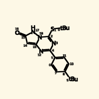 CC(C)(C)Sc1nc(-c2ccc(C(C)(C)C)cc2)nc2cc(=O)[nH]n12